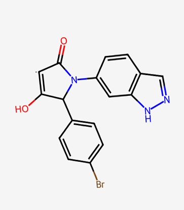 O=C1[C]=C(O)C(c2ccc(Br)cc2)N1c1ccc2cn[nH]c2c1